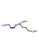 CN[C@@H](CCCOC)N/C=C\CN